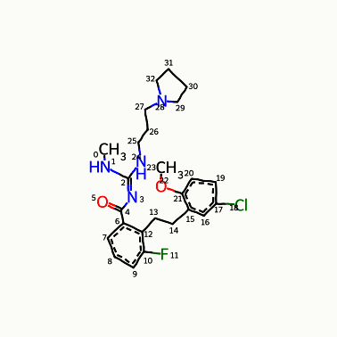 CN/C(=N\C(=O)c1cccc(F)c1CCc1cc(Cl)ccc1OC)NCCCN1CCCC1